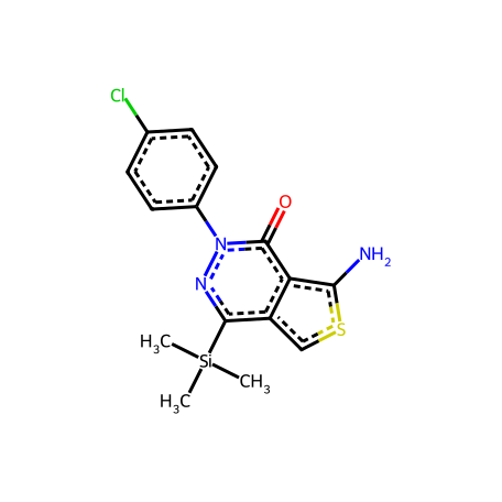 C[Si](C)(C)c1nn(-c2ccc(Cl)cc2)c(=O)c2c(N)scc12